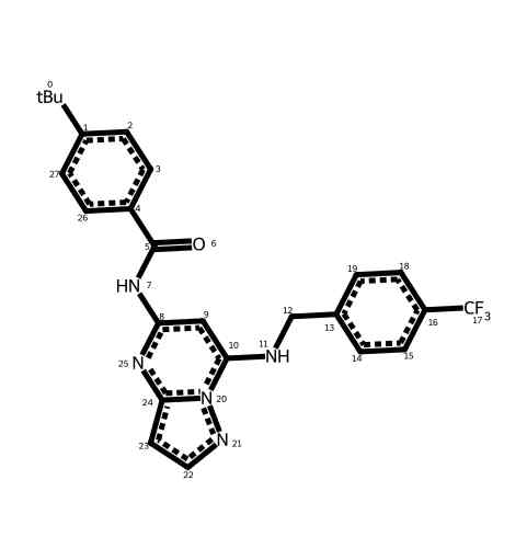 CC(C)(C)c1ccc(C(=O)Nc2cc(NCc3ccc(C(F)(F)F)cc3)n3nccc3n2)cc1